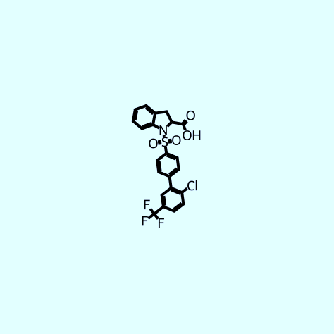 O=C(O)C1Cc2ccccc2N1S(=O)(=O)c1ccc(-c2cc(C(F)(F)F)ccc2Cl)cc1